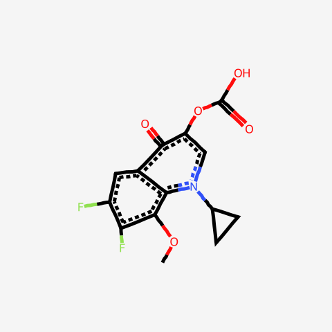 COc1c(F)c(F)cc2c(=O)c(OC(=O)O)cn(C3CC3)c12